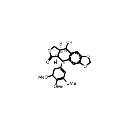 COC1=C(OC)C(OC)CC([C@@H]2c3cc4c(cc3[C@H](O)[C@@H]3COC(=O)[C@@H]32)OCO4)=C1